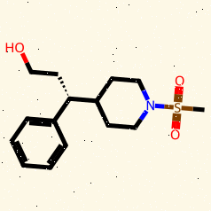 CS(=O)(=O)N1CCC([C@@H](CCO)c2ccccc2)CC1